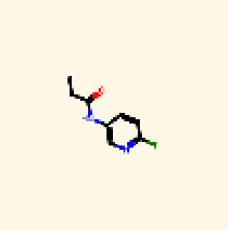 CCC(=O)Nc1ccc(F)nc1